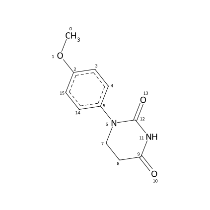 COc1ccc(N2CCC(=O)NC2=O)cc1